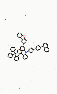 c1ccc(C2(c3ccccc3)c3ccccc3-c3c(-c4ccccc4N(c4ccc(-c5ccc(-c6cccc7ccccc67)cc5)cc4)c4cccc(-c5ccc6oc7ccccc7c6c5)c4)cccc32)cc1